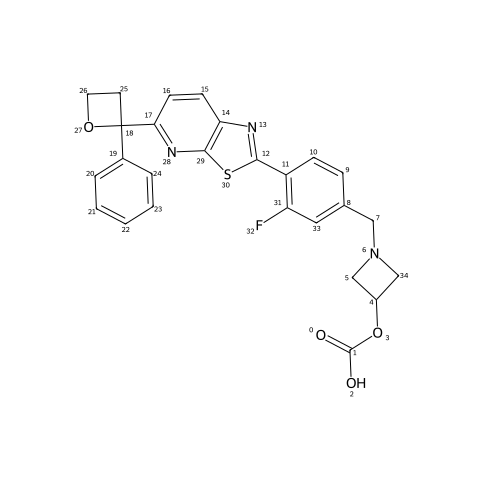 O=C(O)OC1CN(Cc2ccc(-c3nc4ccc(C5(c6ccccc6)CCO5)nc4s3)c(F)c2)C1